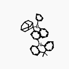 CC1(C)c2ccccc2N(c2ccc(C3(B(c4ccccc4)c4ccccc4)C4CC5CC(C4)CC3C5)cc2)c2ccccc21